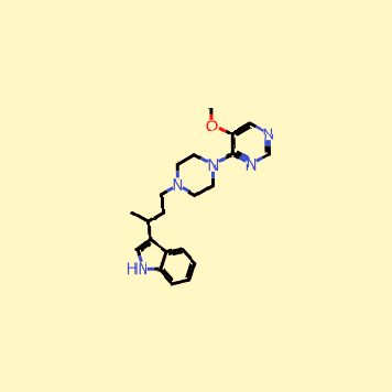 COc1cncnc1N1CCN(CCC(C)c2c[nH]c3ccccc23)CC1